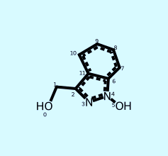 OCc1nn(O)c2ccccc12